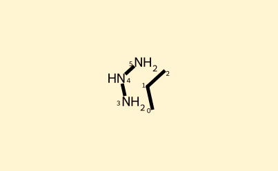 CCC.NNN